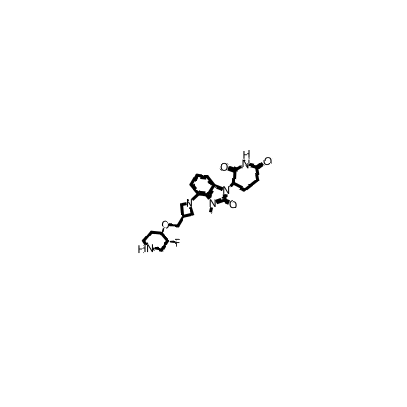 Cn1c(=O)n(C2CCC(=O)NC2=O)c2cccc(N3CC(CO[C@@H]4CCNC[C@@H]4F)C3)c21